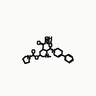 CN1CC(OC(=O)N2CCCC2)CC(C(=O)NO)C1C(=O)N1CC=C(c2ccccc2)CC1